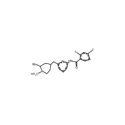 CC(C)(C)C1CC(Cc2cccc(NC(=O)c3ccc(F)cc3F)n2)CCN1C(=O)O